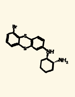 N[C@@H]1CCCC[C@H]1Nc1ccc2c(c1)Sc1cccc(Br)c1S2